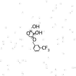 OC[C@H]1OC[C@H](OCc2cccc(C(F)(F)F)c2)[C@@H]1O